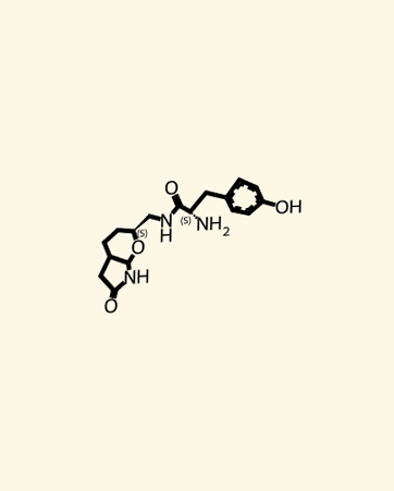 N[C@@H](Cc1ccc(O)cc1)C(=O)NC[C@@H]1CCC2CC(=O)NC2O1